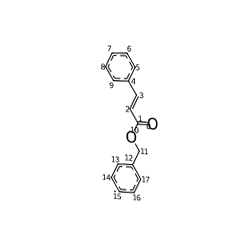 O=C(/C=C/c1ccccc1)OCc1cc[c]cc1